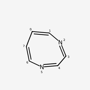 C1=C\N=C/C=N\C=C/1